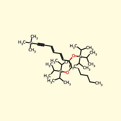 CCCCC[C@H](O[Si](C(C)C)(C(C)C)C(C)C)[C@@H](/C=C/C=C/C#C[Si](C)(C)C)O[Si](C(C)C)(C(C)C)C(C)C